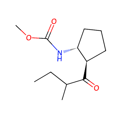 CCC(C)C(=O)[C@@H]1CCC[C@H]1NC(=O)OC